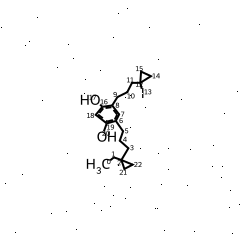 CCC1(CCCc2cc(CCCC3(I)CC3)c(O)cc2O)CC1